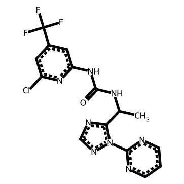 CC(NC(=O)Nc1cc(C(F)(F)F)cc(Cl)n1)c1ncnn1-c1ncccn1